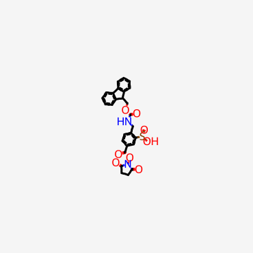 O=C(NCc1ccc(C(=O)ON2C(=O)CCC2=O)cc1S(=O)O)OCC1c2ccccc2-c2ccccc21